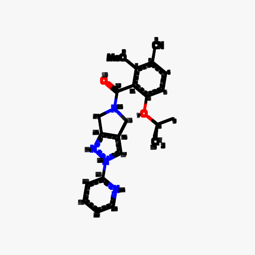 COc1c(C#N)ccc(O[C@@H](C)C(F)(F)F)c1C(=O)N1Cc2cn(-c3ccccn3)nc2C1